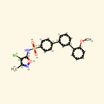 COc1ccccc1-c1cccc(-c2ccc(S(=O)(=O)Nc3onc(C)c3Br)cc2)c1